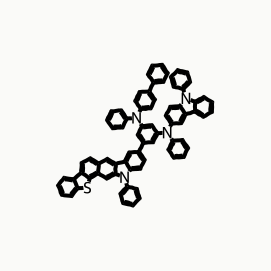 c1ccc(-c2ccc(N(c3ccccc3)c3cc(-c4ccc5c(c4)c4cc6ccc7c8ccccc8sc7c6cc4n5-c4ccccc4)cc(N(c4ccccc4)c4ccc5c(c4)c4ccccc4n5-c4ccccc4)c3)cc2)cc1